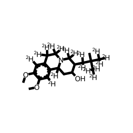 [2H]c1c(OC)c(OC)c([2H])c2c1C1([2H])CC(O)C(C([2H])([2H])C(C)(C([2H])([2H])[2H])C([2H])([2H])[2H])C([2H])([2H])N1C([2H])([2H])C2([2H])[2H]